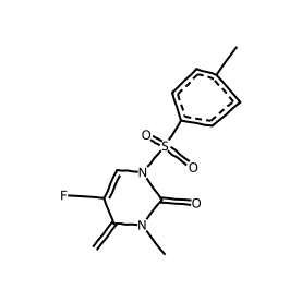 C=C1C(F)=CN(S(=O)(=O)c2ccc(C)cc2)C(=O)N1C